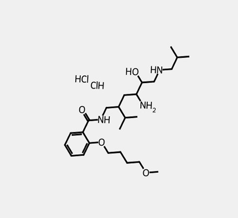 COCCCCOc1ccccc1C(=O)NCC(CC(N)C(O)CNCC(C)C)C(C)C.Cl.Cl